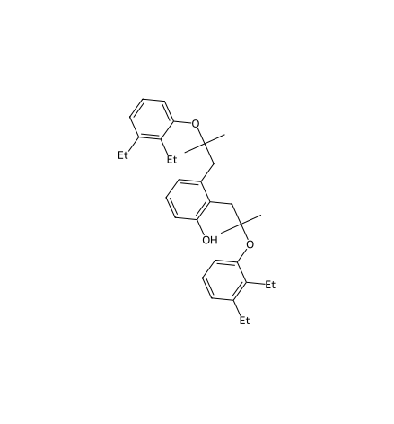 CCc1cccc(OC(C)(C)Cc2cccc(O)c2CC(C)(C)Oc2cccc(CC)c2CC)c1CC